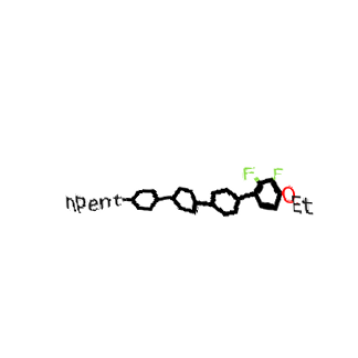 CCCCCC1CCC(C2CCC(C3CCC(c4ccc(OCC)c(F)c4F)CC3)CC2)CC1